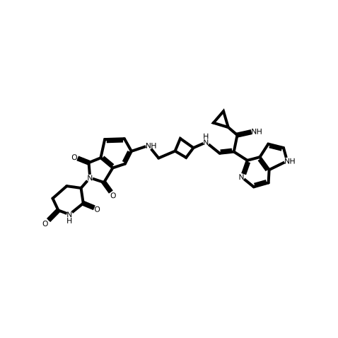 N=C(/C(=C\NC1CC(CNc2ccc3c(c2)C(=O)N(C2CCC(=O)NC2=O)C3=O)C1)c1nccc2[nH]ccc12)C1CC1